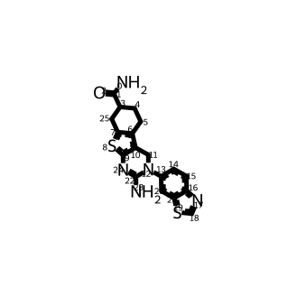 NC(=O)C1CCc2c(sc3c2CN(c2ccc4ncsc4c2)C(N)=N3)C1